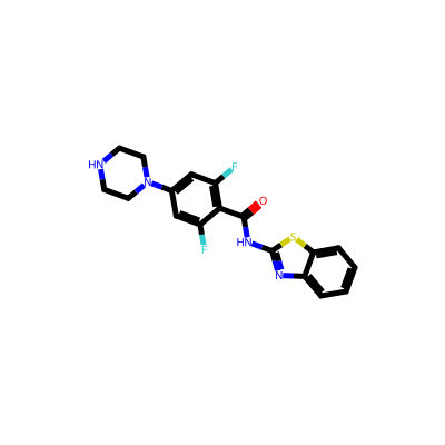 O=C(Nc1nc2ccccc2s1)c1c(F)cc(N2CCNCC2)cc1F